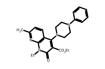 CCOC(=O)c1c(N2CCN(c3ccccc3)CC2)c2ccc(C)nc2n(CC)c1=O